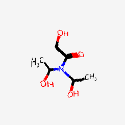 CC(O)N(C(=O)CO)C(C)O